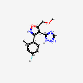 COCc1onc(-c2ccc(F)cc2C)c1-c1nc[nH]n1